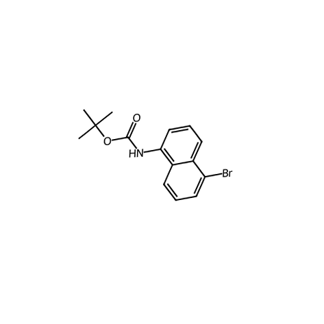 CC(C)(C)OC(=O)Nc1cccc2c(Br)cccc12